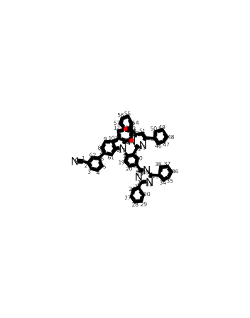 N#Cc1cccc(-c2ccc3c4ccccc4n(-c4ccc(-c5nc(-c6ccccc6)nc(-c6ccccc6)n5)cc4-c4nc(-c5ccccc5)cc(-c5ccccc5)n4)c3c2)c1